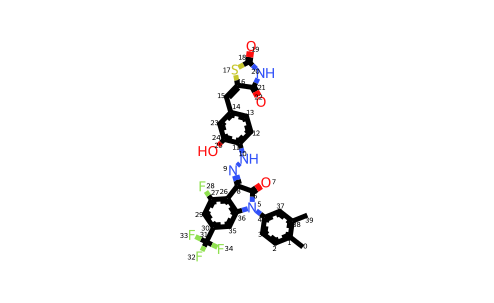 Cc1ccc(N2C(=O)C(=NNc3ccc(C=C4SC(=O)NC4=O)cc3O)c3c(F)cc(C(F)(F)F)cc32)cc1C